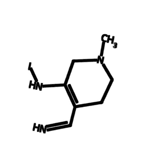 CN1CCC(C=N)=C(NI)C1